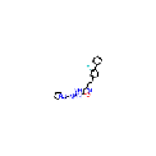 N=C(NCCN1CCCC1)Nc1cc(CCc2ccc(-c3ccccc3)c(F)c2)no1